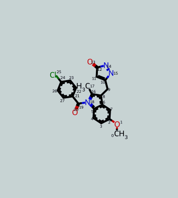 COc1ccc2c(c1)c(CC1=CC(=O)N=N1)c(C)n2C(=O)c1ccc(Cl)cc1